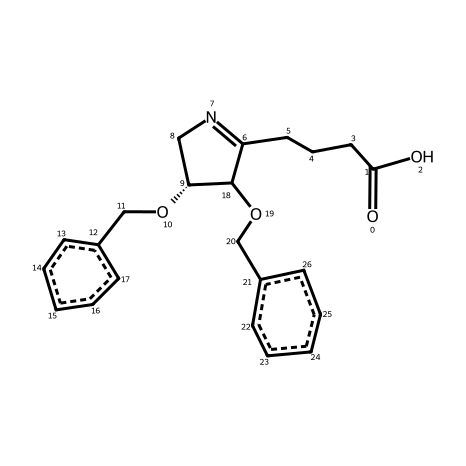 O=C(O)CCCC1=NC[C@@H](OCc2ccccc2)C1OCc1ccccc1